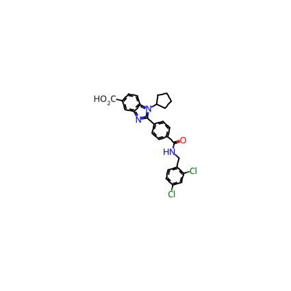 O=C(O)c1ccc2c(c1)nc(-c1ccc(C(=O)NCc3ccc(Cl)cc3Cl)cc1)n2C1CCCC1